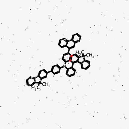 CC1(C)c2ccccc2-c2ccc(-c3ccc(N(c4ccc(-c5cc6ccccc6c6ccccc56)cc4)c4ccccc4-c4cccc5c4-c4ccccc4C5(C)C)cc3)cc21